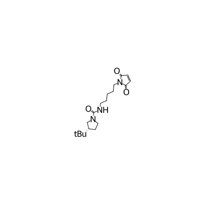 CC(C)(C)[C@H]1CCN(C(=O)NCCCCCN2C(=O)C=CC2=O)C1